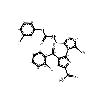 Cc1nnc(CNC(=O)Nc2cccc(Cl)c2)n1-c1sc(C(=O)O)cc1C(=O)c1ccccc1Cl